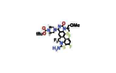 COC[C@H]1CSc2c(-c3c(F)cc(F)c4sc(N)nc34)c(C(F)(F)F)cc3c(N4C[C@@H](C)N(C(=O)OC(C)(C)C)[C@@H](C)C4)nc(=O)n1c23